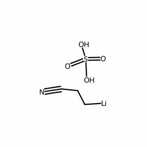 O=S(=O)(O)O.[Li][CH2]CC#N